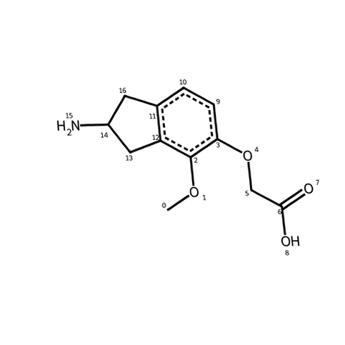 COc1c(OCC(=O)O)ccc2c1CC(N)C2